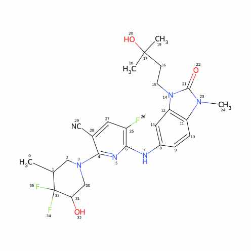 CC1CN(c2nc(Nc3ccc4c(c3)n(CCC(C)(C)O)c(=O)n4C)c(F)cc2C#N)CC(O)C1(F)F